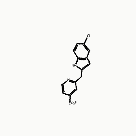 O=C(O)c1ccnc(Cc2cc3cc(Cl)ccc3[nH]2)c1